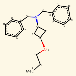 COCCO[C@H]1C[C@@H](N(Cc2ccccc2)Cc2ccccc2)C1